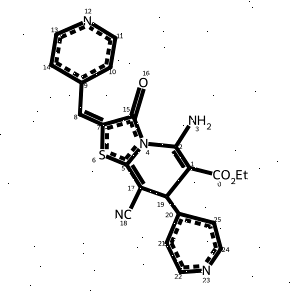 CCOC(=O)C1=C(N)n2c(sc(=Cc3ccncc3)c2=O)=C(C#N)C1c1ccncc1